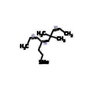 C/C=C\C(=C/C(C)(C)/C=C\C)CCSC